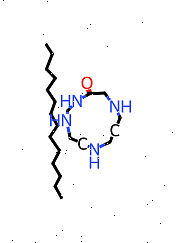 CCCCCCCCCCCCCC.O=C1CNCCCNCCNCN1